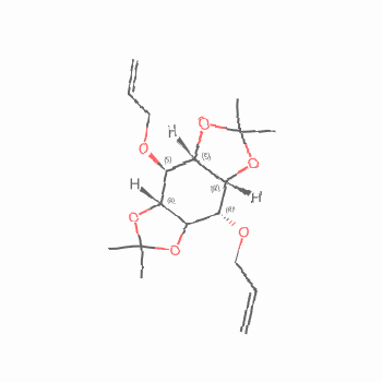 C=CCO[C@H]1[C@@H]2OC(C)(C)O[C@@H]2[C@H](OCC=C)C2OC(C)(C)O[C@@H]21